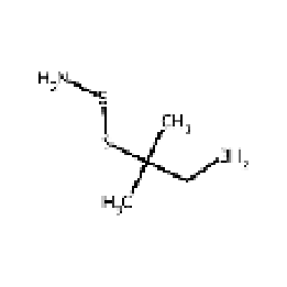 BCC(C)(C)SSN